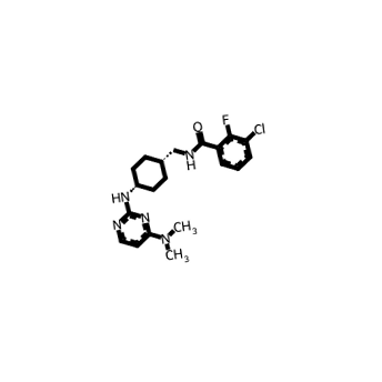 CN(C)c1ccnc(N[C@H]2CC[C@@H](CNC(=O)c3cccc(Cl)c3F)CC2)n1